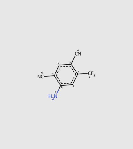 N#Cc1cc(C#N)c(C(F)(F)F)cc1N